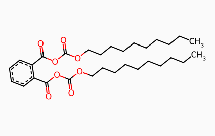 CCCCCCCCCCOC(=O)OC(=O)c1ccccc1C(=O)OC(=O)OCCCCCCCCCC